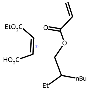 C=CC(=O)OCC(CC)CCCC.CCOC(=O)/C=C\C(=O)O